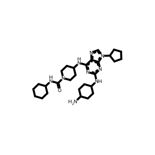 NC1CCC(Nc2nc(NC3CCN(C(=O)NC4CCCCC4)CC3)c3ncn(C4CCCC4)c3n2)CC1